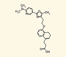 Cc1oc(-c2ccc(N(C)C)nc2)nc1CCOc1cccc2c1CCC=C2CCC(=O)O